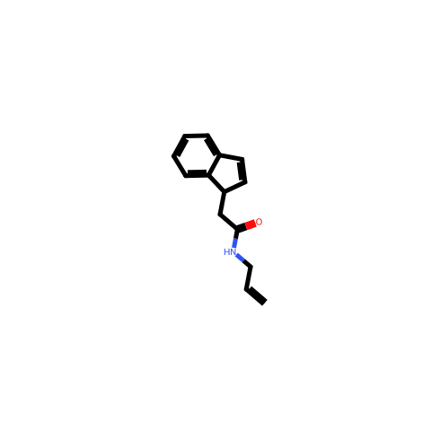 C=CCNC(=O)CC1C=Cc2ccccc21